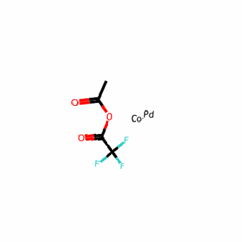 CC(=O)OC(=O)C(F)(F)F.[Co].[Pd]